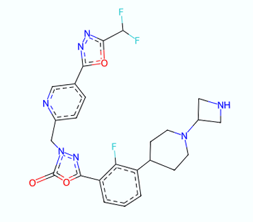 O=c1oc(-c2cccc(C3CCN(C4CNC4)CC3)c2F)nn1Cc1ccc(-c2nnc(C(F)F)o2)cn1